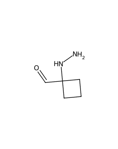 NNC1(C=O)CCC1